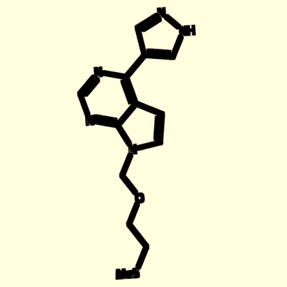 CSCCOCn1ccc2c(-c3cn[nH]c3)ncnc21